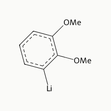 [Li][c]1cccc(OC)c1OC